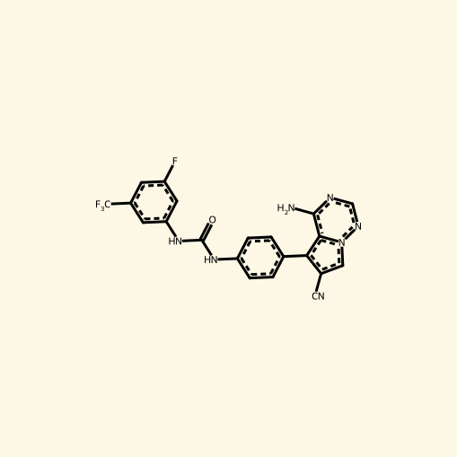 N#Cc1cn2ncnc(N)c2c1-c1ccc(NC(=O)Nc2cc(F)cc(C(F)(F)F)c2)cc1